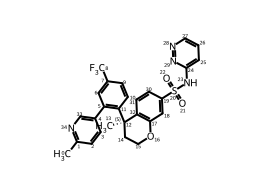 Cc1ccc(-c2cc(C(F)(F)F)ccc2[C@]2(C)CCOc3cc(S(=O)(=O)Nc4cccnn4)ccc32)cn1